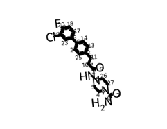 NC(=O)N1CCN(NC(=O)[CH]Cc2ccc(-c3ccc(F)c(Cl)c3)cc2)CC1